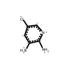 Bc1cc(Cl)cnc1N